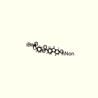 CCCCCCCCCOc1ccc2c(c1)Cc1cc(C(=O)Oc3ccc(OC(=O)C(C)CC)cc3)ccc1-2